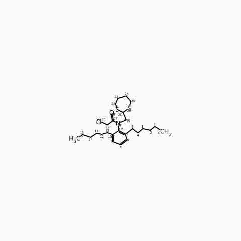 CCCCCCc1cccc(CCCCCC)c1N(CC1SCCCCS1)C(=O)CCl